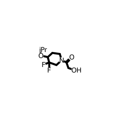 CC(C)OC1CCN(C(=O)CO)CC1(F)F